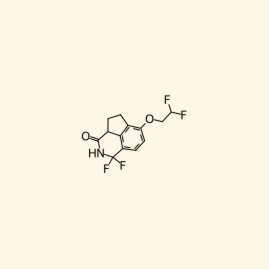 O=C1NC(F)(F)c2ccc(OCC(F)F)c3c2C1CC3